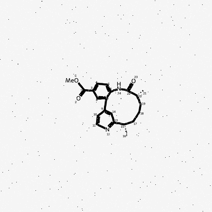 COC(=O)c1ccc2c(c1)-c1ccnc(c1)[C@@H](I)CCC[C@@H](C)C(=O)N2